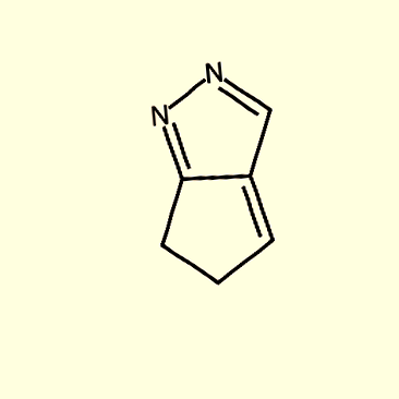 C1=NN=C2CCC=C12